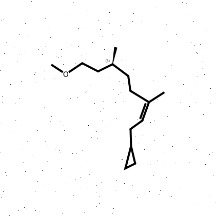 COCC[C@@H](C)CCC(C)=CCC1CC1